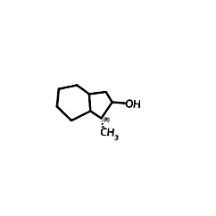 C[C@H]1C(O)CC2CCCCC21